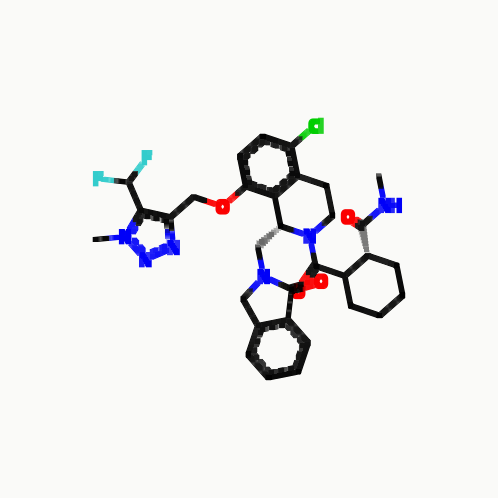 CNC(=O)[C@@H]1CCCCC1C(=O)N1CCc2c(Cl)ccc(OCc3nnn(C)c3C(F)F)c2[C@H]1CN1Cc2ccccc2C1=O